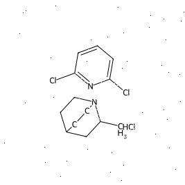 CC1CC2CCN1CC2.Cl.Clc1cccc(Cl)n1